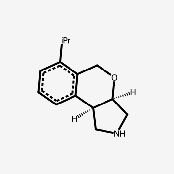 CC(C)c1cccc2c1CO[C@H]1CNC[C@@H]21